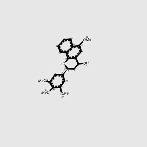 COc1cc([C@@H]2CC(O)c3cc(OC)c4ccccc4c3O2)cc(OC)c1OC